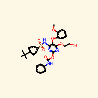 COc1ccccc1Oc1c(NS(=O)(=O)c2ccc(C(C)(C)C)cc2)nc(OC(=O)Nc2ccccc2)nc1OCCO